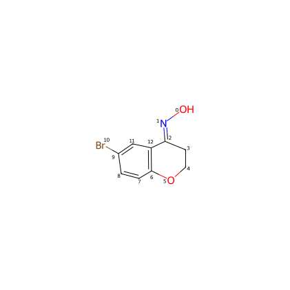 O/N=C1\CCOc2ccc(Br)cc21